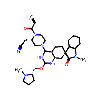 C=CC(=O)N1CCN(C2NC(OC[C@@H]3CCCN3C)NC3C[C@]4(CCC32)C(=O)N(C)C2CCCCC24)C[C@@H]1CC#N